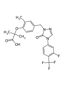 Cc1cc(Cn2ncn(-c3ccc(C(F)(F)F)c(F)c3)c2=O)ccc1OC(C)(C)C(=O)O